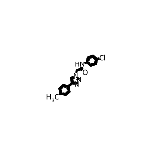 Cc1ccc(-c2cn(CC(=O)Nc3ccc(Cl)cc3)nn2)cc1